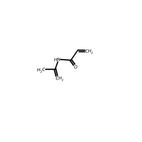 [CH2]C(=C)NC(=O)C=C